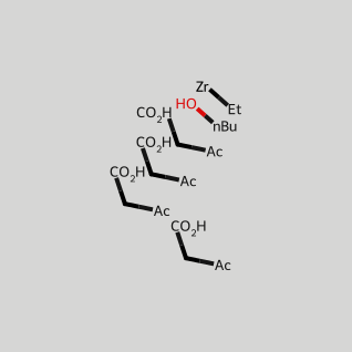 CC(=O)CC(=O)O.CC(=O)CC(=O)O.CC(=O)CC(=O)O.CC(=O)CC(=O)O.CCCCO.C[CH2][Zr]